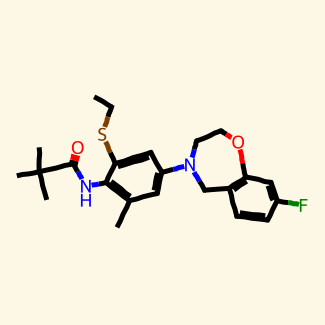 CCSc1cc(N2CCOc3cc(F)ccc3C2)cc(C)c1NC(=O)C(C)(C)C